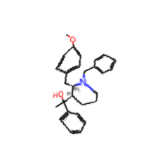 COc1ccc(C[C@@H]2[C@H](C(C)(O)c3ccccc3)CCCN2Cc2ccccc2)cc1